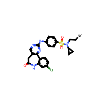 [C-]#[N+]CCN(C1CC1)S(=O)(=O)c1ccc(Nc2ncc3c(n2)-c2ccc(Cl)cc2NC(=O)C3)cc1